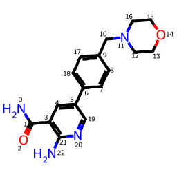 NC(=O)c1cc(-c2ccc(CN3CCOCC3)cc2)cnc1N